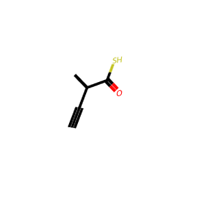 C#CC(C)C(=O)S